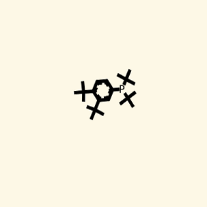 CC(C)(C)c1ccc(P(C(C)(C)C)C(C)(C)C)cc1C(C)(C)C